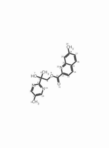 Cc1cnc(C(C)(O)COC(=O)c2ccc3ccc(C)cc3n2)nc1